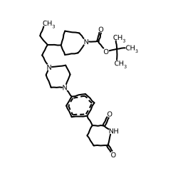 CCC(CN1CCN(c2ccc(C3CCC(=O)NC3=O)cc2)CC1)C1CCN(C(=O)OC(C)(C)C)CC1